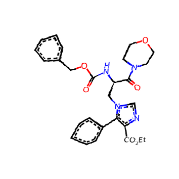 CCOC(=O)c1ncn(C[C@@H](NC(=O)OCc2ccccc2)C(=O)N2CCOCC2)c1-c1ccccc1